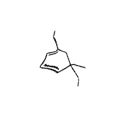 CC1(I)C=CC=C(I)C1